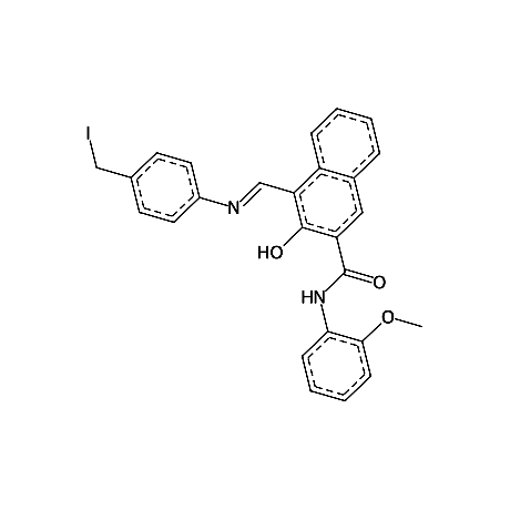 COc1ccccc1NC(=O)c1cc2ccccc2c(/C=N/c2ccc(CI)cc2)c1O